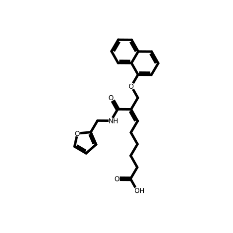 O=C(O)CCCCC=C(COc1cccc2ccccc12)C(=O)NCc1ccco1